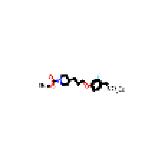 CCOC(=O)Cc1ccc(OCCCC2CCN(C(=O)OC(C)(C)C)CC2)cc1F